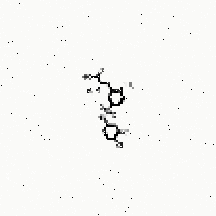 Cc1ccc(S(=O)(=O)Nc2ccc(Cl)c(Cl)c2)cc1C[C@H](N)C(=O)O